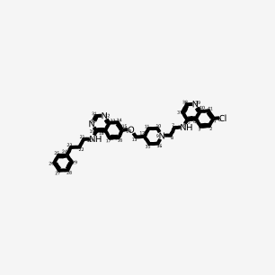 Clc1ccc2c(NCCN3CCC(COc4ccc5c(NCCCc6ccccc6)ncnc5c4)CC3)ccnc2c1